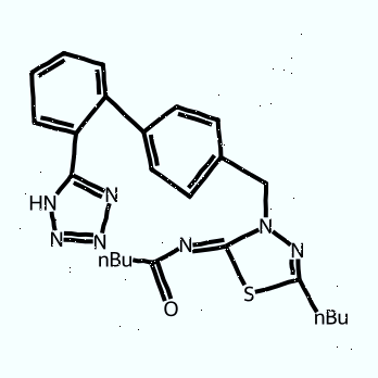 CCCCC(=O)N=c1sc(CCCC)nn1Cc1ccc(-c2ccccc2-c2nnn[nH]2)cc1